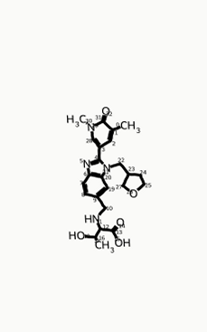 Cc1cc(-c2nc3ccc(CNC(C(=O)O)C(C)O)cc3n2CC2CCOC2)cn(C)c1=O